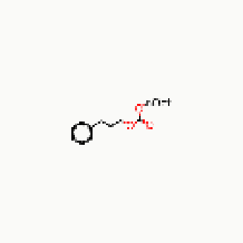 CCCCCCCCOC(=O)OCCCc1ccccc1